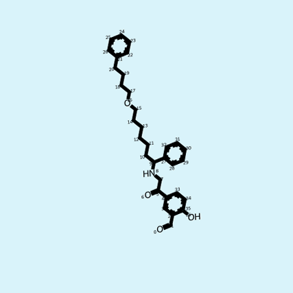 O=Cc1cc(C(=O)CNC(CCCCCCOCCCCc2ccccc2)c2ccccc2)ccc1O